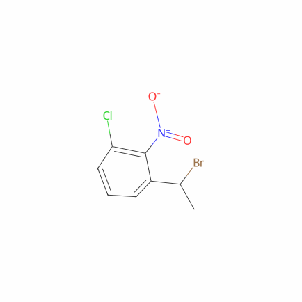 CC(Br)c1cccc(Cl)c1[N+](=O)[O-]